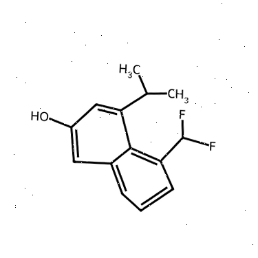 CC(C)c1cc(O)cc2cccc(C(F)F)c12